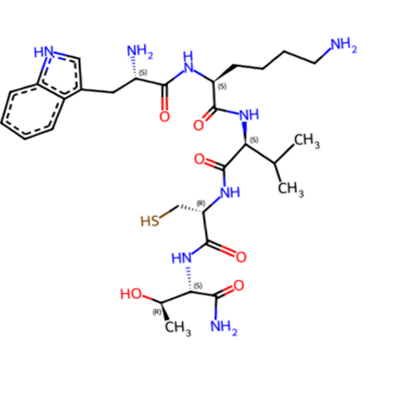 CC(C)[C@H](NC(=O)[C@H](CCCCN)NC(=O)[C@@H](N)Cc1c[nH]c2ccccc12)C(=O)N[C@@H](CS)C(=O)N[C@H](C(N)=O)[C@@H](C)O